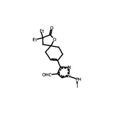 CCC1(CC)CC2(CC=C(c3nn(PI)cc3C=O)CC2)OC1=O